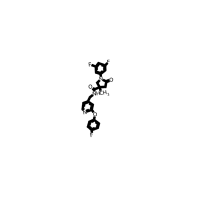 CC1(C(=O)NCc2ccnc(Oc3ccc(F)cc3)c2)CC(=O)N(c2cc(F)cc(F)c2)C1